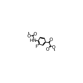 COC(=O)Nc1ccc(C(=O)C(=O)OC)cc1F